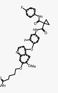 COc1cc2c(Oc3ccc(NC(=O)C4(C(=O)Nc5ccc(F)cc5)CC4)cc3F)ccnc2cc1OCCCCC(=O)NO